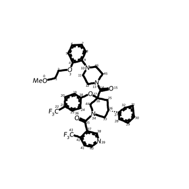 COCCOc1ccccc1N1CCN(C(=O)C2(Oc3ccc(C(F)(F)F)cc3)C[C@H](c3ccccc3)CN(C(=O)c3cnccc3C(F)(F)F)C2)CC1